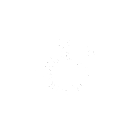 C[C@@H]1NC(=O)Cn2cc(nn2)C[C@@H](C(N)=O)NC(=O)C(CCCNC(=N)N)NC(=O)[C@H](Cc2c[nH]c3ccccc23)NC(=O)[C@@H](CC2CCCCC2)NC(=O)[C@@H]2CCCN2C1=O